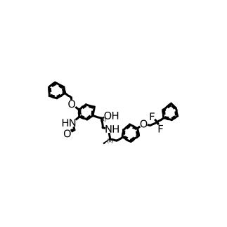 C[C@H](Cc1ccc(OCC(F)(F)c2ccccc2)cc1)NC[C@H](O)c1ccc(OCc2ccccc2)c(NC=O)c1